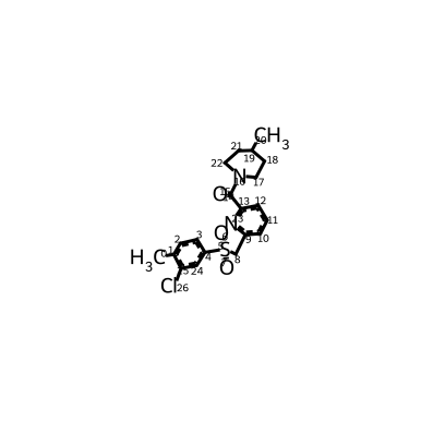 Cc1ccc(S(=O)(=O)Cc2cccc(C(=O)N3CCC(C)CC3)n2)cc1Cl